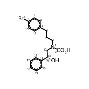 O=C(O)N(CCCc1ccc(Br)cc1)C[C@H](O)c1ccccc1